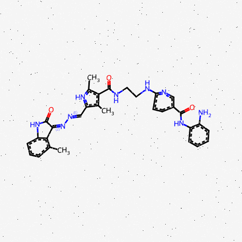 Cc1cccc2c1/C(=N/N=C/c1[nH]c(C)c(C(=O)NCCNc3ccc(C(=O)Nc4ccccc4N)cn3)c1C)C(=O)N2